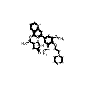 COc1cc(-c2cc3ncccc3c(O[C@H](C)[C@H]3CNC(=O)C3)n2)cc(OC)c1OCCN1CCOCC1